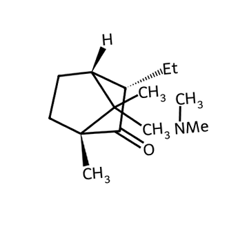 CC[C@@H]1C(=O)[C@]2(C)CC[C@H]1C2(C)C.CNC